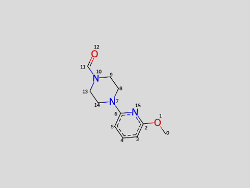 COc1cccc(N2CCN(C=O)CC2)n1